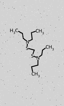 CCCN(CCC)SCSN(CCC)CCC